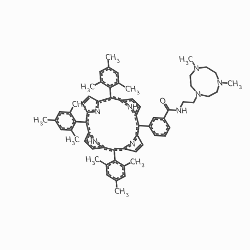 Cc1cc(C)c(-c2c3nc(c(-c4c(C)cc(C)cc4C)c4ccc([nH]4)c(-c4c(C)cc(C)cc4C)c4nc(c(-c5cccc(C(=O)NCCN6CCN(C)CCN(C)CC6)c5)c5ccc2[nH]5)C=C4)C=C3)c(C)c1